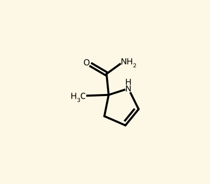 CC1(C(N)=O)CC=CN1